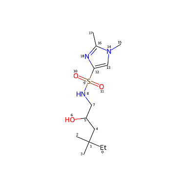 CCC(C)(C)CC(O)CNS(=O)(=O)c1cn(C)c(C)n1